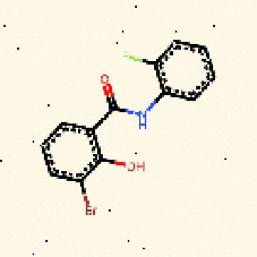 O=C(Nc1ccccc1F)c1cccc(Br)c1O